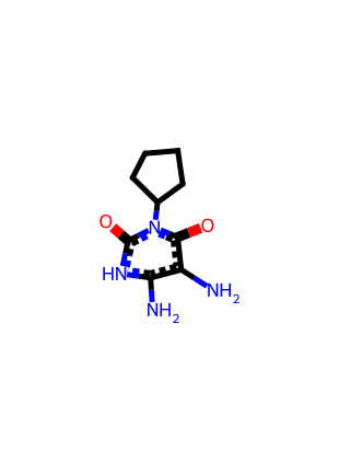 Nc1[nH]c(=O)n(C2CCCC2)c(=O)c1N